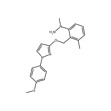 CSc1ccc(-n2ccc(OCc3c(C)cccc3N(C)N)n2)cc1